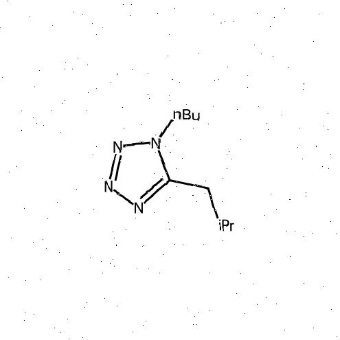 CCCCn1nnnc1CC(C)C